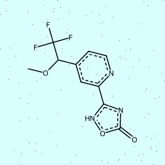 COC(c1ccnc(-c2nc(=O)o[nH]2)c1)C(F)(F)F